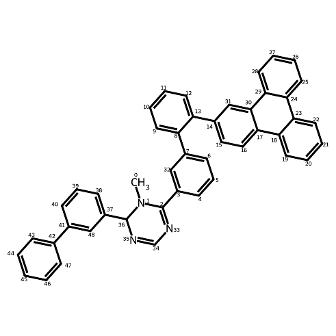 CN1C(c2cccc(-c3ccccc3-c3ccc4c5ccccc5c5ccccc5c4c3)c2)=NC=NC1c1cccc(-c2ccccc2)c1